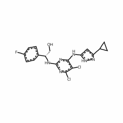 OC[C@H](Nc1nc(Cl)c(Cl)c(Nc2cc(C3CC3)n[nH]2)n1)c1ccc(F)cc1